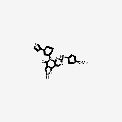 COc1ccc(Nc2ncc3c4n[nH]cc4c(=O)n(-c4cccc(-c5ccsc5)c4)c3n2)cc1